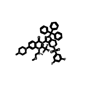 COC[C@@H](C)N(C(=O)C(F)(F)F)c1cc(N2CCN(C)CC2)ccc1C(=O)Nc1nn(C(c2ccccc2)(c2ccccc2)c2ccccc2)c2c1CN(S(=O)(=O)c1cc(F)cc(F)c1)CC2